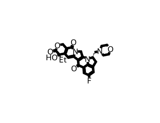 CC[C@@]1(O)C(=O)OCc2c1cc1n(c2=O)Cc2c-1c(=O)c1cc(F)cc3c1n2[C@H](CN1CCOCC1)C3